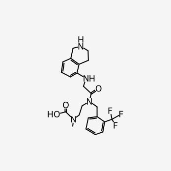 CN(CCN(Cc1ccccc1C(F)(F)F)C(=O)CNc1cccc2c1CCNC2)C(=O)O